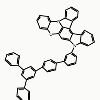 c1ccc(-c2cc(-c3ccccc3)cc(-c3ccc(-c4cccc(-n5c6ccccc6c6c7c8ccccc8n8c7c(cc65)Oc5ccccc5-8)c4)cc3)c2)cc1